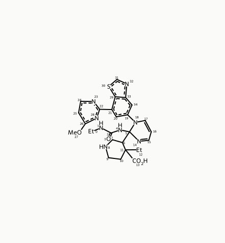 CCNC(=O)NC1(C2CNCCC2(CC)C(=O)O)N=CC=CN1c1cc(-c2nccc(OC)n2)c2scnc2c1